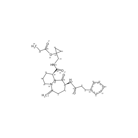 C=C1CC[C@H](NC(=O)CCc2ccccc2)C(=O)N2[C@H](C(=O)NCC3(OC(=O)CC)CC3)CCCN12